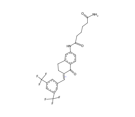 NC(=O)CCCCC(=O)Nc1ccc2c(c1)CC/C(=C\c1cc(C(F)(F)F)cc(C(F)(F)F)c1)C2=O